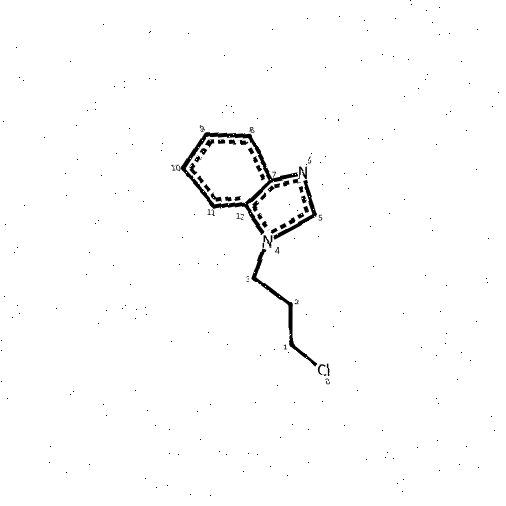 ClCCCn1cnc2ccccc21